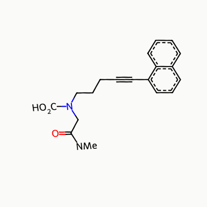 CNC(=O)CN(CCCC#Cc1cccc2ccccc12)C(=O)O